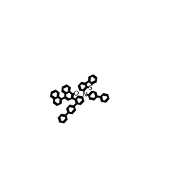 c1ccc(-c2ccc(-c3ccc(N(c4ccc(-c5ccccc5)cc4)c4cccc5c4sc4ccccc45)c4oc5c6ccccc6c(-c6cccc7ccccc67)cc5c34)cc2)cc1